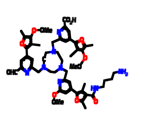 COOc1cc(-c2oc(C)c(C(=O)NCCCCN)c2C)cc(CN2CCN(Cc3cc(-c4oc(C)c(OOC)c4C)cc(C=O)n3)CCN(Cc3cc(-c4oc(C)c(OOC)c4C)cc(C(=O)O)n3)CC2)n1